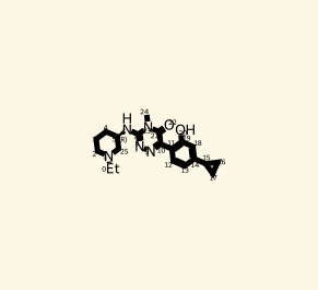 CCN1CCC[C@@H](Nc2nnc(-c3ccc(C4CC4)cc3O)c(=O)n2C)C1